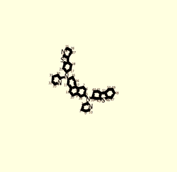 c1ccc(N(c2ccc3c(ccc4cc(N(c5ccc6c(c5)sc5ncccc56)c5ccccn5)ccc43)c2)c2ccc3c(c2)sc2ccccc23)nc1